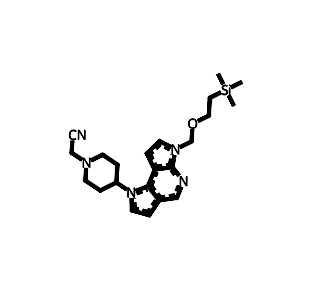 C[Si](C)(C)CCOCn1ccc2c1ncc1ccn(C3CCN(CC#N)CC3)c12